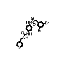 O=C(NCc1ccncc1)Nc1ccc(NS(=O)(=O)Cc2cc(Br)cc(Br)c2)cc1